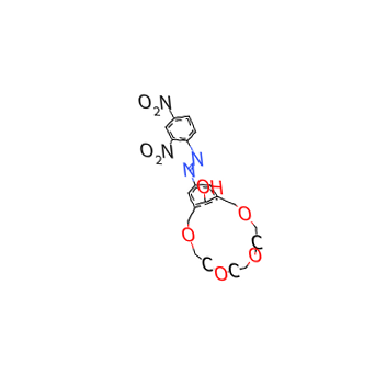 O=[N+]([O-])c1ccc(N=Nc2cc3c(O)c(c2)COCCOCCOCCOC3)c([N+](=O)[O-])c1